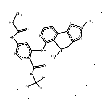 [2H]C([2H])([2H])NC(=O)c1nnc(NC(=O)NC)cc1Nc1nccc2c1N(C)Cc1nn(C)nc1-2